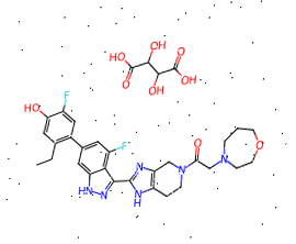 CCc1cc(O)c(F)cc1-c1cc(F)c2c(-c3nc4c([nH]3)CCN(C(=O)CN3CCCOCC3)C4)n[nH]c2c1.O=C(O)C(O)C(O)C(=O)O